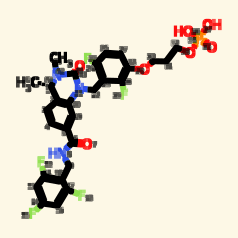 C[C@H]1c2ccc(C(=O)NCc3c(F)cc(F)cc3F)cc2N(Cc2c(F)ccc(OCCCOP(=O)(O)O)c2F)C(=O)N1C